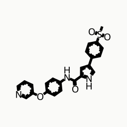 CS(=O)(=O)c1ccc(-c2c[nH]c(C(=O)Nc3ccc(Oc4cccnc4)cc3)c2)cc1